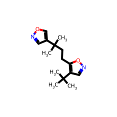 CC(C)(C)c1cnoc1CCC(C)(C)c1cnoc1